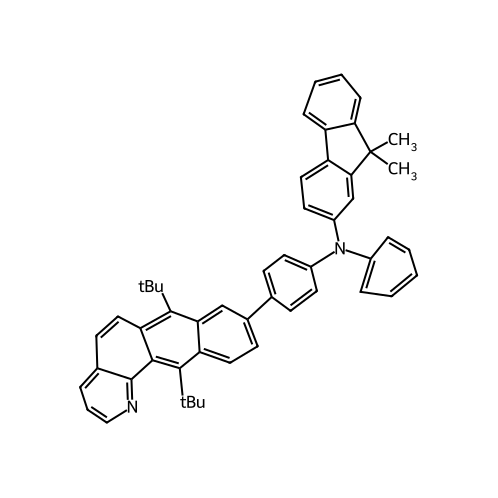 CC(C)(C)c1c2cc(-c3ccc(N(c4ccccc4)c4ccc5c(c4)C(C)(C)c4ccccc4-5)cc3)ccc2c(C(C)(C)C)c2c1ccc1cccnc12